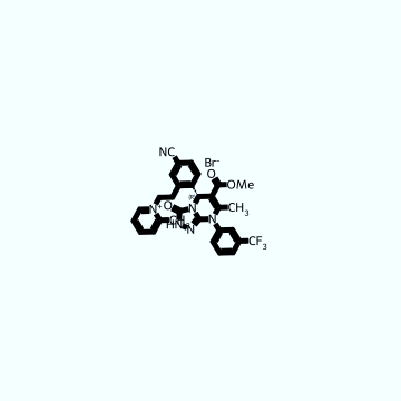 COC(=O)C1=C(C)N(c2cccc(C(F)(F)F)c2)c2n[nH]c(=O)n2[C@@H]1c1ccc(C#N)cc1CC[n+]1ccccc1C.[Br-]